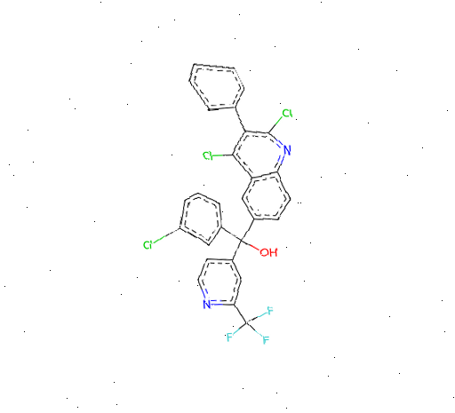 OC(c1cccc(Cl)c1)(c1ccnc(C(F)(F)F)c1)c1ccc2nc(Cl)c(-c3ccccc3)c(Cl)c2c1